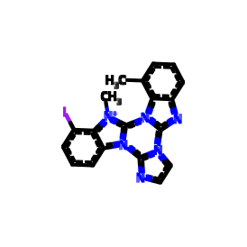 Cc1cccc2nc3n4ccnc4n4c5cccc(I)c5[n+](C)c4n3c12